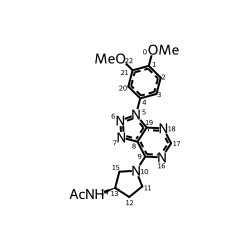 COc1ccc(-n2nnc3c(N4CC[C@@H](NC(C)=O)C4)ncnc32)cc1OC